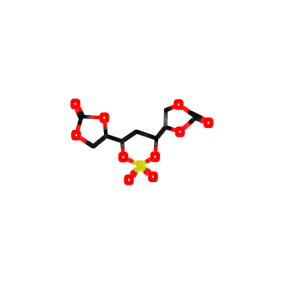 O=C1OCC(C2CC(C3COC(=O)O3)OS(=O)(=O)O2)O1